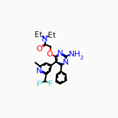 CCN(CC)C(=O)COc1nc(N)nc(-c2ccccc2)c1-c1cc(C)nc(C(F)F)c1